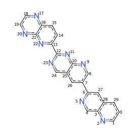 c1cnc2cnc(-c3cnc4nc(-c5ccc6nccnc6n5)ncc4c3)cc2c1